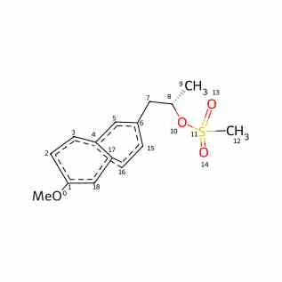 COc1ccc2cc(C[C@H](C)OS(C)(=O)=O)ccc2c1